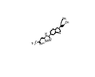 CN/C(=C\C(=N)C(F)(F)F)NC(=O)c1ccc2cc(/C(C=N)=C/O)cnc2c1